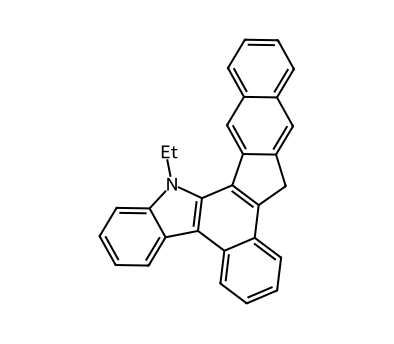 CCn1c2ccccc2c2c3ccccc3c3c(c21)-c1cc2ccccc2cc1C3